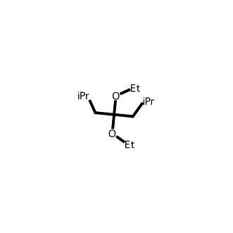 CCOC(CC(C)C)(CC(C)C)OCC